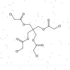 O=C(CCl)OCC(COC(=O)CCl)(COC(=O)CCl)COC(=O)CCl